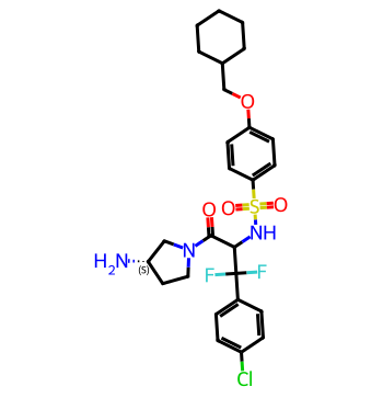 N[C@H]1CCN(C(=O)C(NS(=O)(=O)c2ccc(OCC3CCCCC3)cc2)C(F)(F)c2ccc(Cl)cc2)C1